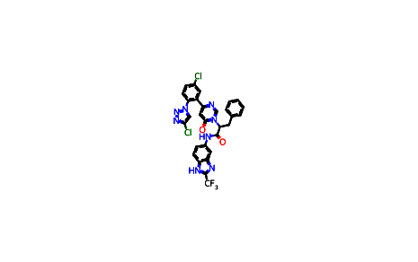 O=C(Nc1ccc2[nH]c(C(F)(F)F)nc2c1)C(Cc1ccccc1)n1cnc(-c2cc(Cl)ccc2-n2cc(Cl)nn2)cc1=O